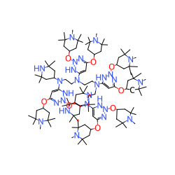 CN1C(C)(C)CC(OC2=NN(OC3CC(C)(C)N(C)C(C)(C)C3)NC(N(CCN(CCN(C3=CC(OC4CC(C)(C)N(C)C(C)(C)C4)=NN(OC4CC(C)(C)N(C)C(C)(C)C4)N3)C3CC(C)(C)NC(C)(C)C3)C3=CC(OC4CC(C)(C)N(C)C(C)(C)C4)=NN(OC4CC(C)(C)N(C)C(C)(C)C4)N3)CCN(C3=CC(OC4CC(C)(C)N(C)C(C)(C)C4)=NN(OC4CC(C)(C)N(C)C(C)(C)C4)N3)C3CC(C)(C)NC(C)(C)C3)=C2)CC1(C)C